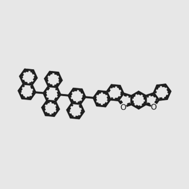 c1ccc2c(-c3c4ccccc4c(-c4ccc(-c5ccc6c(ccc7c8cc9c(cc8oc67)oc6ccccc69)c5)c5ccccc45)c4ccccc34)cccc2c1